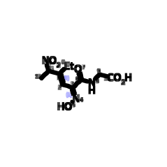 CC/C(=C\C(=N/O)C(=O)NCC(=O)O)C(C)[N+](=O)[O-]